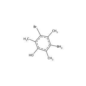 Bc1c(C)c(O)c(C)c(Br)c1C